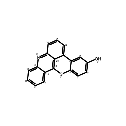 Oc1ccc2c(c1)-c1cccc3nc4ccccc4c(c13)S2